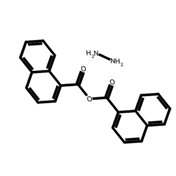 NN.O=C(OC(=O)c1cccc2ccccc12)c1cccc2ccccc12